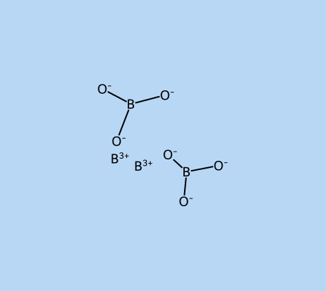 [B+3].[B+3].[O-]B([O-])[O-].[O-]B([O-])[O-]